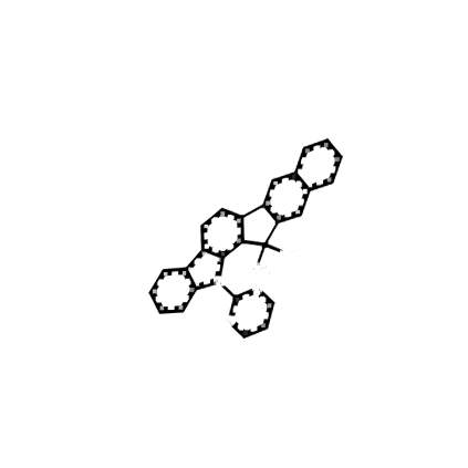 CC1(C)c2cc3ccccc3cc2-c2ccc3c4ccccc4n(-c4ncccn4)c3c21